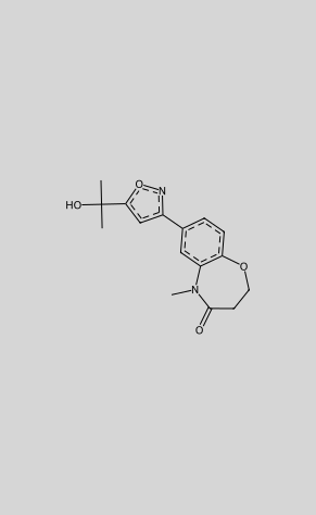 CN1C(=O)CCOc2ccc(-c3cc(C(C)(C)O)on3)cc21